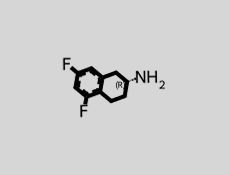 N[C@@H]1CCc2c(F)cc(F)cc2C1